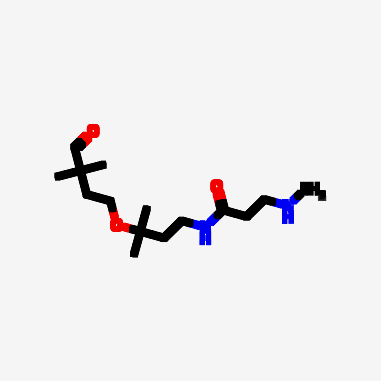 BNCCC(=O)NCCC(C)(C)OCCC(C)(C)C=O